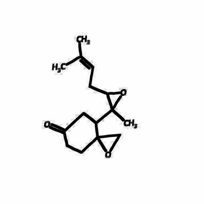 CC(C)=CCC1OC1(C)C1CC(=O)CCC12CO2